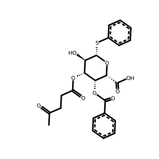 CC(=O)CCC(=O)O[C@@H]1[C@@H](O)[C@H](Sc2ccccc2)O[C@H](C(=O)O)[C@@H]1OC(=O)c1ccccc1